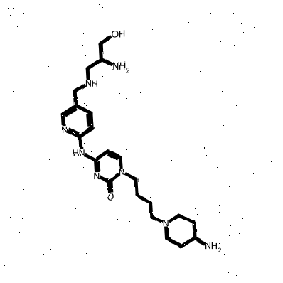 NC1CCN(CCCCn2ccc(Nc3ccc(CNCC(N)CO)cn3)nc2=O)CC1